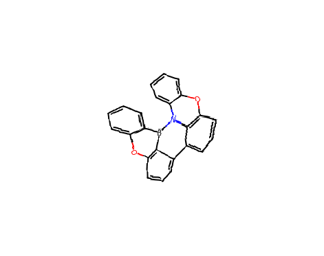 c1ccc2c(c1)Oc1cccc3c1B2N1c2ccccc2Oc2cccc-3c21